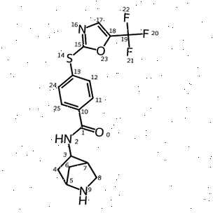 O=C(NC1CC2CC1CN2)c1ccc(Sc2ncc(C(F)(F)F)o2)cc1